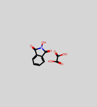 O=C(O)C(=O)O.O=C1c2ccccc2C(=O)N1O